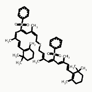 CC(=CCSCC=C(C)C=C(C=C(C)C=CC1=C(C)CCCC1(C)C)S(=O)(=O)c1ccccc1)C=C(C=C(C)C=CC1=C(C)CCCC1(C)C)S(=O)(=O)c1ccccc1